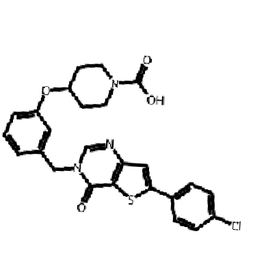 O=C(O)N1CCC(Oc2cccc(Cn3cnc4cc(-c5ccc(Cl)cc5)sc4c3=O)c2)CC1